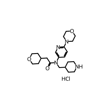 Cl.O=C(CC1CCOCC1)N(CC1CCNCC1)c1ccc(N2CCOCC2)nc1